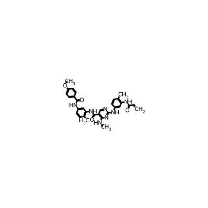 C=CC(=O)Nc1cc(Nc2ncc(C(=O)Nc3cc(NC(=O)c4ccc(OC)cc4)ccc3C)c(NC)n2)ccc1C